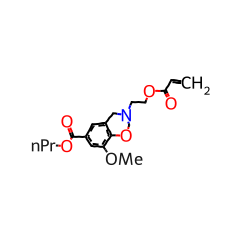 C=CC(=O)OCCN1COc2c(cc(C(=O)OCCC)cc2OC)C1